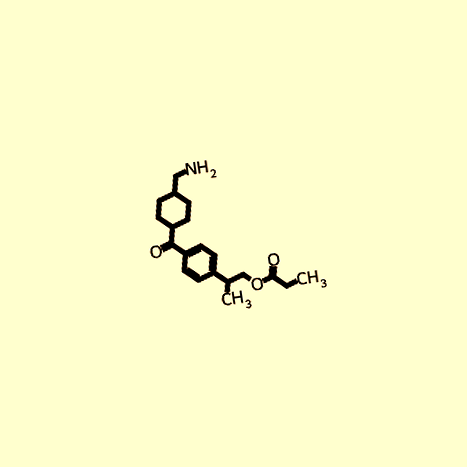 CCC(=O)OCC(C)c1ccc(C(=O)C2CCC(CN)CC2)cc1